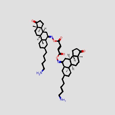 C[C@]12CCC(CCCCCN)CC1C(=NOC(=O)/C=C/C(=O)O/N=C1/C[C@@H]3[C@@H](CC[C@]4(C)C(=O)CC[C@@H]34)[C@@]3(C)CCC(CCCCCN)CC13)C[C@@H]1[C@H]2CC[C@]2(C)C(=O)CC[C@@H]12